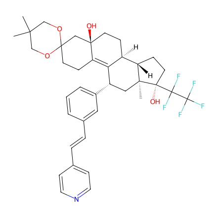 CC1(C)COC2(CCC3=C4[C@@H](CC[C@@]3(O)C2)[C@@H]2CC[C@@](O)(C(F)(F)C(F)(F)F)[C@@]2(C)C[C@@H]4c2cccc(/C=C/c3ccncc3)c2)OC1